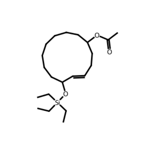 CC[Si](CC)(CC)OC1/C=C/CCC(OC(C)=O)CCCCCCC1